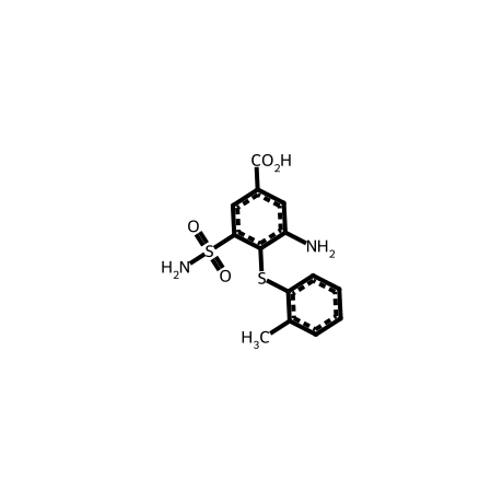 Cc1ccccc1Sc1c(N)cc(C(=O)O)cc1S(N)(=O)=O